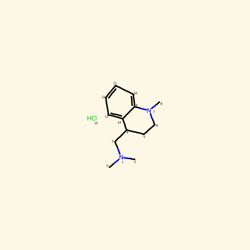 CN(C)CC1CCN(C)c2ccccc21.Cl